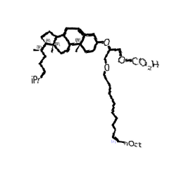 CCCCCCCC/C=C\CCCCCCCCOCC(COC(=O)O)OC1CC[C@@]2(C)C(=CCC3C2CC[C@@]2(C)C3CC[C@@H]2[C@H](C)CCCC(C)C)C1